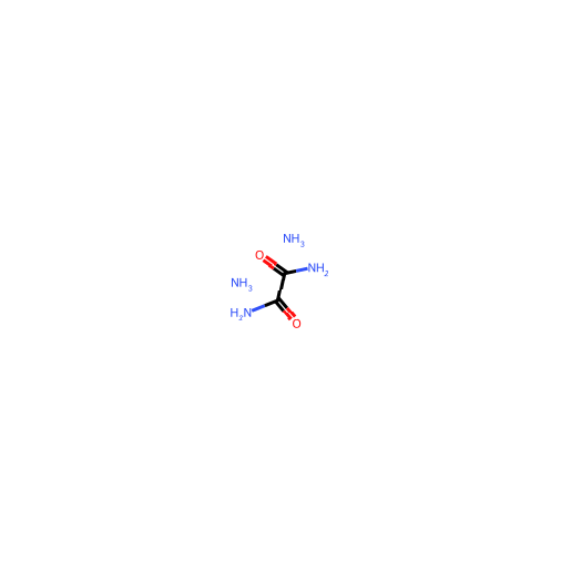 N.N.NC(=O)C(N)=O